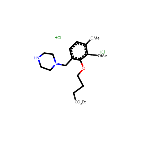 CCOC(=O)CCCOc1c(CN2CCNCC2)ccc(OC)c1OC.Cl.Cl